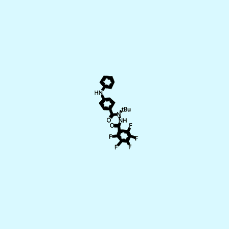 CC(C)(C)N(NC(=O)c1c(F)c(F)c(F)c(F)c1F)C(=O)c1ccc(Nc2ccccc2)cc1